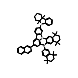 CC1(C)CCC(C)(C)c2cc(N3c4cc5c(cc4B4c6cc(N7c8ccccc8C8(C)CCCCC78C)ccc6-c6cc(-c7ccc8ccccc8c7)cc3c64)C(C)(C)CCC5(C)C)ccc21